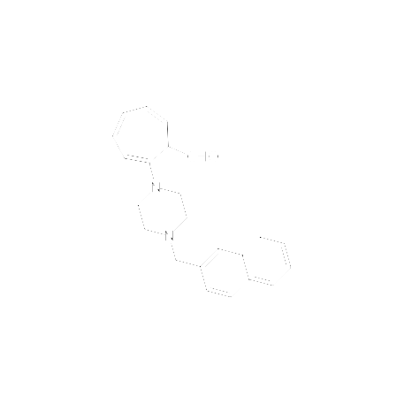 O=CC1C=CC=CC=C1N1CCN(Cc2ccc3ccccc3c2)CC1